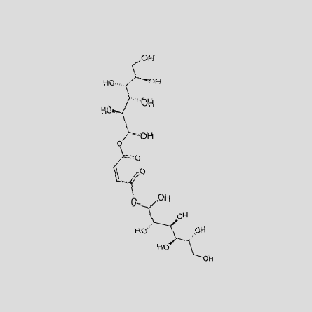 O=C(/C=C\C(=O)OC(O)[C@@H](O)[C@@H](O)[C@H](O)[C@H](O)CO)OC(O)[C@@H](O)[C@@H](O)[C@H](O)[C@H](O)CO